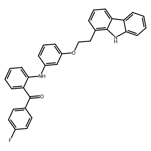 O=C(c1ccc(F)cc1)c1ccccc1Nc1[c]c(OCCc2cccc3c2[nH]c2ccccc23)ccc1